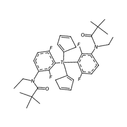 CCN(C(=O)C(C)(C)C)c1ccc(F)[c]([Ti]([C]2=CC=CC2)([C]2=CC=CC2)[c]2c(F)ccc(N(CC)C(=O)C(C)(C)C)c2F)c1F